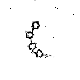 COc1ccc(Oc2ccc(-c3cnc(-c4ccccc4)o3)cc2)cc1